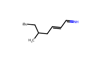 CCC(C)CC(C)C/C=C/C=N